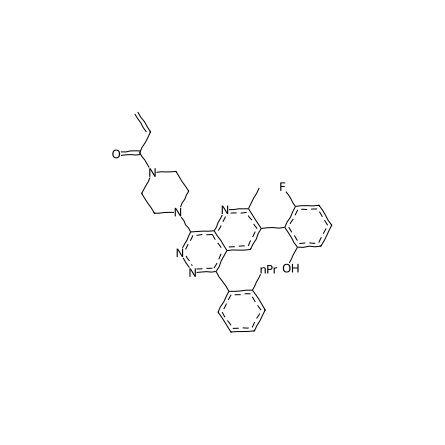 C=CC(=O)N1CCN(c2nnc(-c3ccccc3CCC)c3cc(-c4c(O)cccc4F)c(C)nc23)CC1